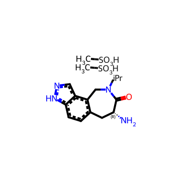 CC(C)N1Cc2c(ccc3[nH]ncc23)C[C@@H](N)C1=O.CS(=O)(=O)O.CS(=O)(=O)O